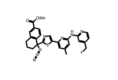 COC(=O)c1ccc2c(c1)CCCC2(N=[N+]=[N-])c1ncc(-c2cc(C)cc(Nc3cc(CF)ccn3)n2)s1